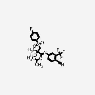 CC(C)O/C(=N\c1ccc(C#N)c(C(F)(F)F)c1)C(C)(O)CS(=O)(=O)c1ccc(F)cc1